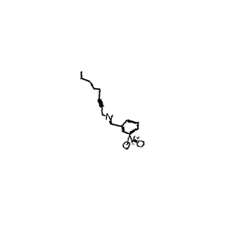 CCCCCC#CCN=Cc1cccc([N+](=O)[O-])c1